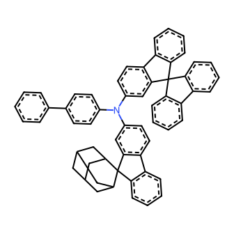 c1ccc(-c2ccc(N(c3ccc4c(c3)C3(c5ccccc5-c5ccccc53)c3ccccc3-4)c3ccc4c(c3)C3(c5ccccc5-4)C4CC5CC(C4)CC3C5)cc2)cc1